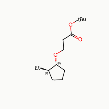 CC[C@@H]1CCC[C@H]1OCCC(=O)OC(C)(C)C